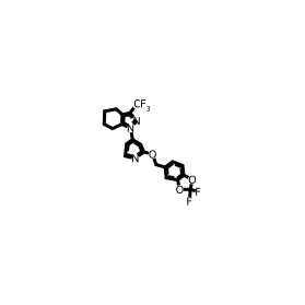 FC1(F)Oc2ccc(COc3cc(-n4nc(C(F)(F)F)c5c4CCCC5)ccn3)cc2O1